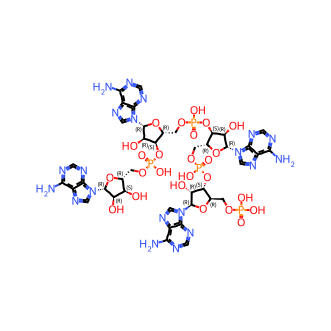 Nc1ncnc2c1ncn2[C@@H]1O[C@H](COP(=O)(O)O[C@H]2[C@@H](O)[C@H](n3cnc4c(N)ncnc43)O[C@@H]2COP(=O)(O)O[C@H]2[C@@H](O)[C@H](n3cnc4c(N)ncnc43)O[C@@H]2COP(=O)(O)O[C@H]2[C@@H](O)[C@H](n3cnc4c(N)ncnc43)O[C@@H]2COP(=O)(O)O)[C@@H](O)[C@H]1O